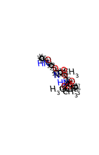 COc1cc2c(Oc3ccc(NC(=O)c4ccccc4)cc3)ccnc2cc1OCC[C@H](NC(=O)OC(C)(C)C)C(=O)OC1CCCCC1